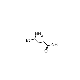 CCC(N)CCC([NH])=O